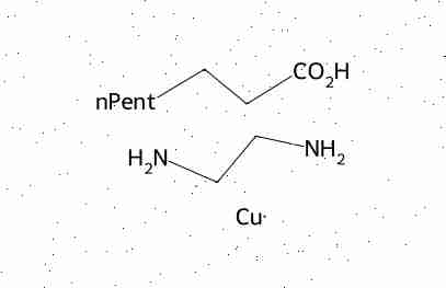 CCCCCCCC(=O)O.NCCN.[Cu]